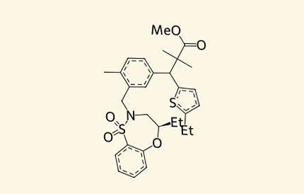 CCc1ccc(C(c2ccc(C)c(CN3C[C@@H](CC)Oc4ccccc4S3(=O)=O)c2)C(C)(C)C(=O)OC)s1